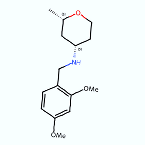 COc1ccc(CN[C@H]2CCO[C@@H](C)C2)c(OC)c1